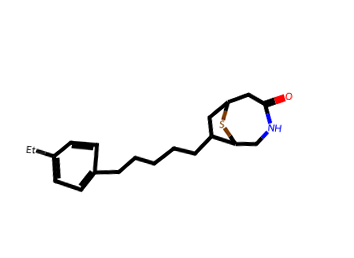 CCc1ccc(CCCCCC2CC3CC(=O)NCC2S3)cc1